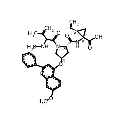 BNC(C(=C)C)C(=O)N1C[C@H](Oc2cc(-c3ccccc3)nc3cc(OC)ccc23)C[C@H]1C(=O)N[C@]1(C(=O)O)C[C@@H]1C=C